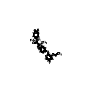 Cn1c(C(=O)NC2(C)CCS(=O)(=O)CC2)nc2ccc(Oc3ncc(F)cc3OCC(F)(F)F)cc21